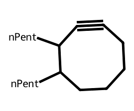 CCCCCC1C#CCCCCC1CCCCC